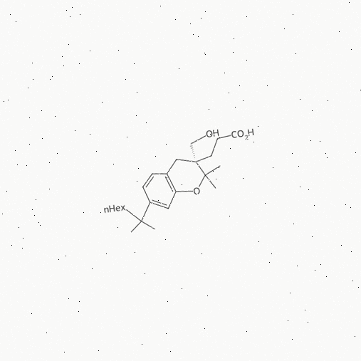 CCCCCCC(C)(C)c1ccc2c(c1)OC(C)(C)[C@](CO)(CCC(=O)O)C2